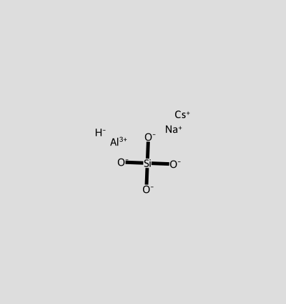 [Al+3].[Cs+].[H-].[Na+].[O-][Si]([O-])([O-])[O-]